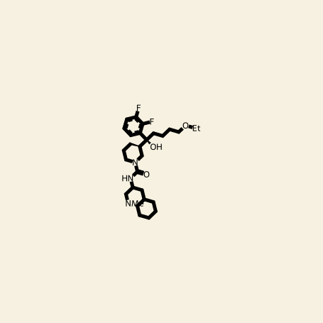 CCOCCCC[C@@](O)(c1cccc(F)c1F)[C@@H]1CCCN(C(=O)NC(CNC)CC2CCCCC2)C1